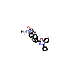 CN1C(=O)CC[C@@]2(C)C1CC[C@@H]1[C@H]2CC[C@]2(C)C(C(=O)NC(c3ccccc3)c3ccc(Cl)cc3)CC[C@@H]12